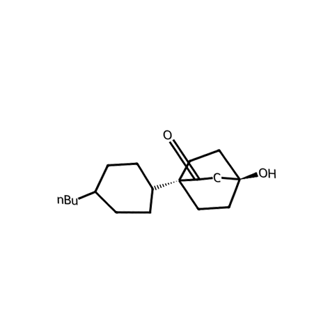 CCCCC1CCC([C@]23CC[C@@](O)(CC2)CC3=O)CC1